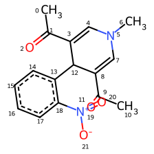 CC(=O)C1=CN(C)C=C(C(C)=O)C1c1ccccc1[N+](=O)[O-]